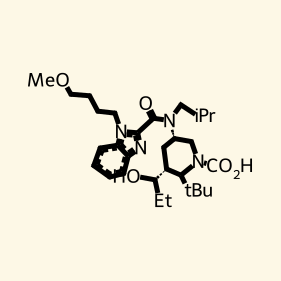 CCC(O)[C@@H]1C[C@H](N(CC(C)C)C(=O)c2nc3ccccc3n2CCCCOC)CN(C(=O)O)C1C(C)(C)C